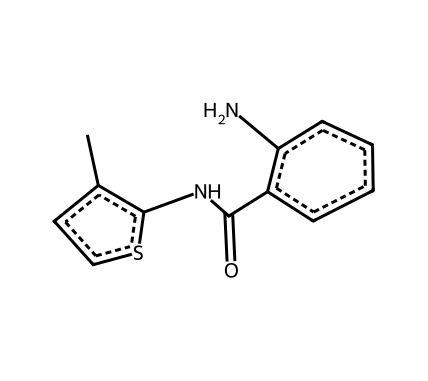 Cc1ccsc1NC(=O)c1ccccc1N